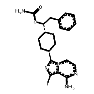 NC(=O)OC(Cc1ccccc1)[C@H]1CC[C@H](c2nc(I)c3c(N)nccn32)CC1